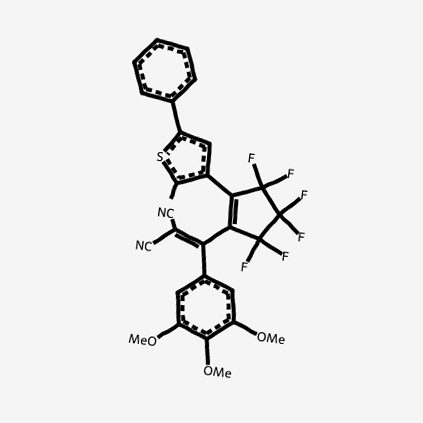 COc1cc(C(=C(C#N)C#N)C2=C(c3cc(-c4ccccc4)sc3C)C(F)(F)C(F)(F)C2(F)F)cc(OC)c1OC